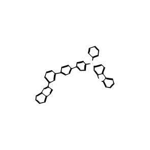 c1ccc(N(c2ccc(-c3ccc(-c4cccc(-c5ccc6ccccc6c5)c4)cc3)cc2)c2ccc3c(c2)sc2ccccc23)cc1